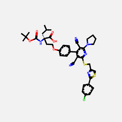 CC(C)C[C@](CCOc1ccc(-c2c(C#N)c(SCc3csc(-c4ccc(Cl)cc4)n3)nc(N3CCCC3)c2C#N)cc1)(NC(=O)OC(C)(C)C)C(=O)O